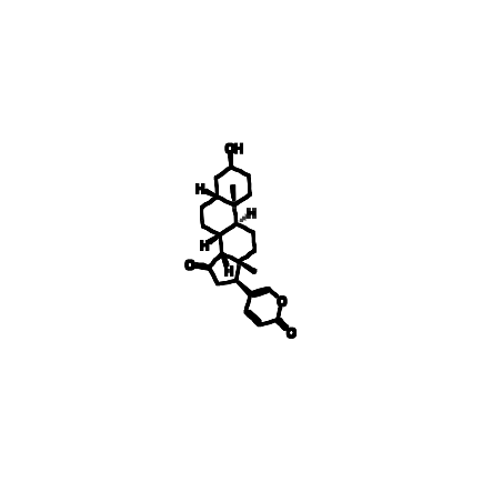 C[C@]12CC[C@H](O)C[C@H]1CC[C@H]1[C@H]3C(=O)C[C@H](c4ccc(=O)oc4)[C@@]3(C)CC[C@@H]12